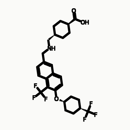 O=C(O)[C@H]1CC[C@H](CNCc2ccc3c(C(F)(F)F)c(O[C@H]4CC[C@@H](C(F)(F)F)CC4)ccc3c2)CC1